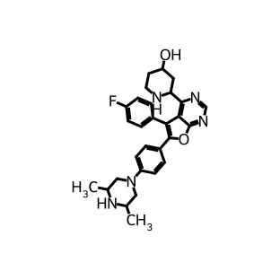 CC1CN(c2ccc(-c3oc4ncnc(C5CC(O)CCN5)c4c3-c3ccc(F)cc3)cc2)CC(C)N1